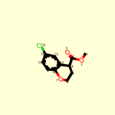 COC(=O)C1CCOc2ccc(Cl)cc21